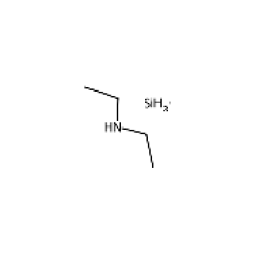 CCNCC.[SiH3]